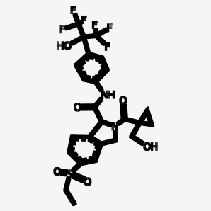 CCS(=O)(=O)c1ccc2c(c1)CN(C(=O)C1(CO)CC1)C2C(=O)Nc1ccc(C(O)(C(F)(F)F)C(F)(F)F)cc1